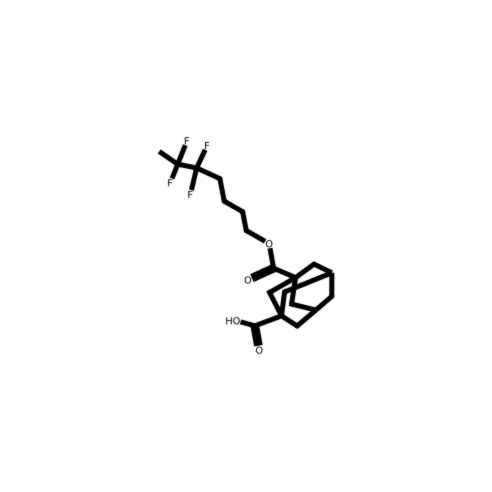 CC(F)(F)C(F)(F)CCCCOC(=O)C12CC3CC(CC(C(=O)O)(C3)C1)C2